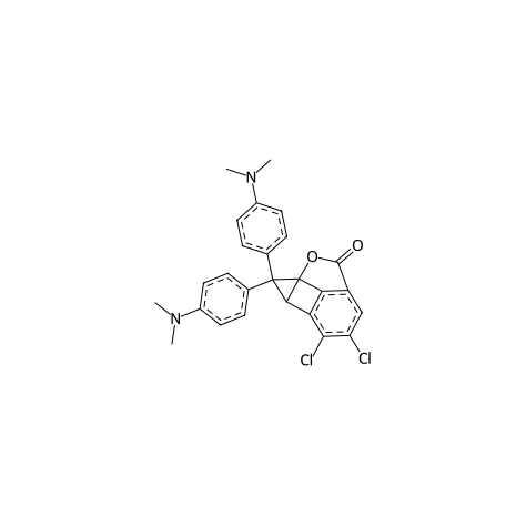 CN(C)c1ccc(C2(c3ccc(N(C)C)cc3)C3c4c(Cl)c(Cl)cc5c4C32OC5=O)cc1